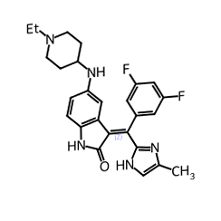 CCN1CCC(Nc2ccc3c(c2)/C(=C(\c2cc(F)cc(F)c2)c2nc(C)c[nH]2)C(=O)N3)CC1